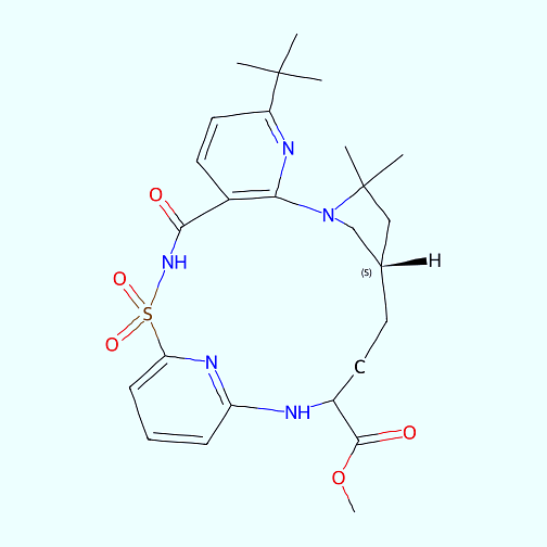 COC(=O)C1CC[C@@H]2CN(c3nc(C(C)(C)C)ccc3C(=O)NS(=O)(=O)c3cccc(n3)N1)C(C)(C)C2